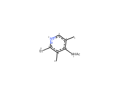 CCc1ncc(C)c(NC(C)=O)c1C